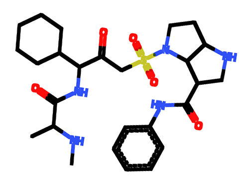 CNC(C)C(=O)NC(C(=O)CS(=O)(=O)N1CCC2NCC(C(=O)Nc3ccccc3)C21)C1CCCCC1